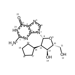 Nc1nc2c(ncn2[C@@H]2O[C@H](CO)[C@@H](O)[C@H]2C2CCCC2)c(=O)[nH]1